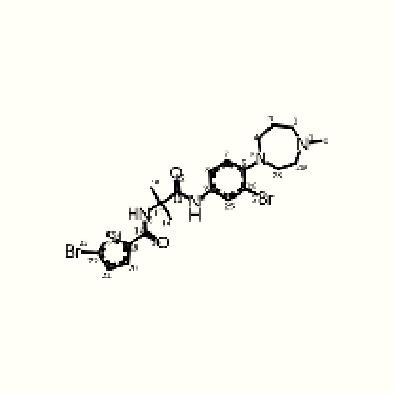 CN1CCCN(c2ccc(NC(=O)C(C)(C)NC(=O)c3ccc(Br)s3)cc2Br)CC1